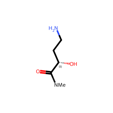 CNC(=O)[C@@H](O)CCN